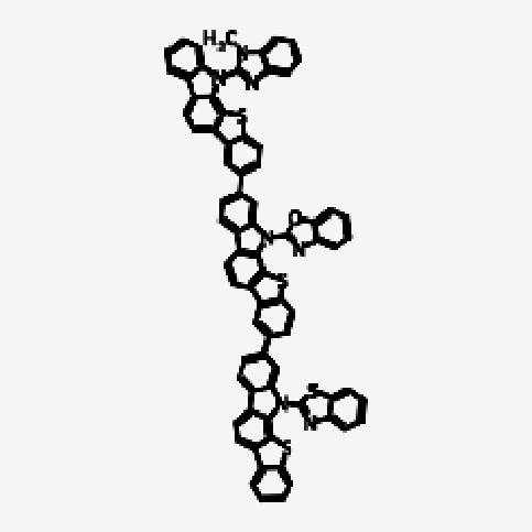 Cn1c(-n2c3ccccc3c3ccc4c5cc(-c6ccc7c8ccc9c%10cc(-c%11ccc%12c%13ccc%14c%15ccccc%15sc%14c%13n(-c%13nc%14ccccc%14s%13)c%12c%11)ccc%10sc9c8n(-c8nc9ccccc9o8)c7c6)ccc5sc4c32)nc2ccccc21